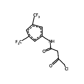 O=C(CCl)CC(=O)Nc1cc(C(F)(F)F)cc(C(F)(F)F)c1